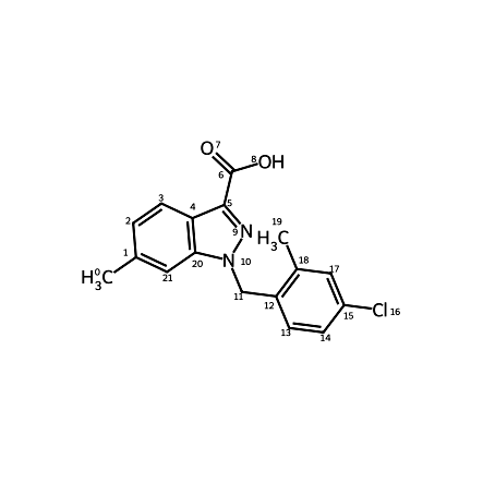 Cc1ccc2c(C(=O)O)nn(Cc3ccc(Cl)cc3C)c2c1